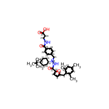 Cc1cc(C)c(Cc2ccc(C(=O)NN(Cc3ccc(C(=O)NCCC(=O)O)cc3)[C@H]3CC[C@@H](C(C)(C)C)CC3)o2)c(C)c1